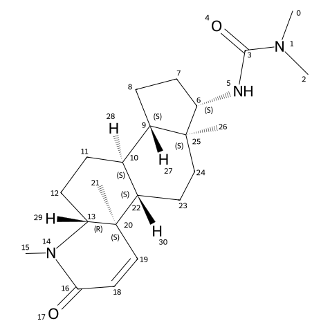 CN(C)C(=O)N[C@H]1CC[C@H]2[C@@H]3CC[C@H]4N(C)C(=O)C=C[C@]4(C)[C@H]3CC[C@]12C